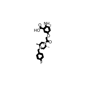 C[C@@H]1CN(Cc2ccc(F)cc2)[C@@H](C)CN1C(=O)COc1ccc(N)c(C(=O)O)c1